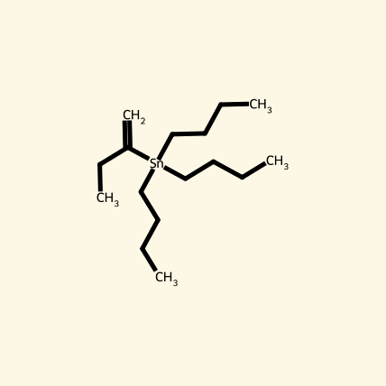 C=[C](CC)[Sn]([CH2]CCC)([CH2]CCC)[CH2]CCC